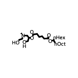 CCCCCCCCC(CCCCCC)OC(=O)CCCCC(=O)OC(CO)CN(C)CCO